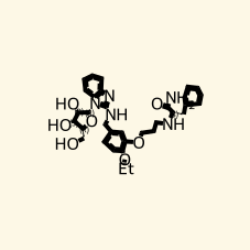 CCOc1ccc(CNc2nc3ccccc3n2[C@@H]2O[C@H](CO)[C@@H](O)[C@H]2O)cc1OCCCN[C@@H](Cc1ccccc1)C(N)=O